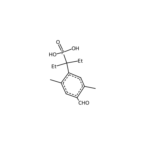 CCC(CC)(c1cc(C)c(C=O)cc1C)P(=O)(O)O